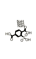 O=C(O)c1ccc(C(=O)O)c(S(=O)(=O)O)c1.[NaH].[NaH].[NaH]